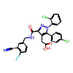 N#Cc1cc(CNC(=O)c2nn(-c3ccccc3Cl)c(-c3ccc(Cl)cc3)c2CC(=O)O)ccc1F